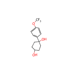 OC1CCC(O)(c2ccc(OC(F)(F)F)cc2)CC1